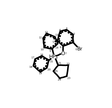 Brc1ccccc1O[PH](c1ccccc1)(c1ccccc1)C1CCCC1